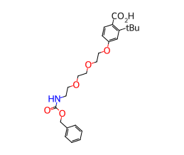 CC(C)(C)c1cc(OCCOCCOCCNC(=O)OCc2ccccc2)ccc1C(=O)O